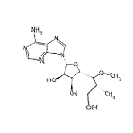 COC([C@H](C)CO)[C@H]1O[C@@H](n2cnc3c(N)ncnc32)[C@H](O)[C@@H]1O